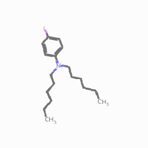 CCCCCCN(CCCCCC)c1ccc(I)cc1